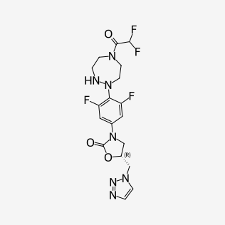 O=C(C(F)F)N1CCNN(c2c(F)cc(N3C[C@H](Cn4ccnn4)OC3=O)cc2F)CC1